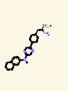 CN(c1ccc2ccccc2c1)c1cnc(-c2ccc(C[C@H](N)C(=O)O)cc2)cn1